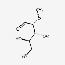 CO[C@@H](C=O)[C@H](O)[C@H](O)CS